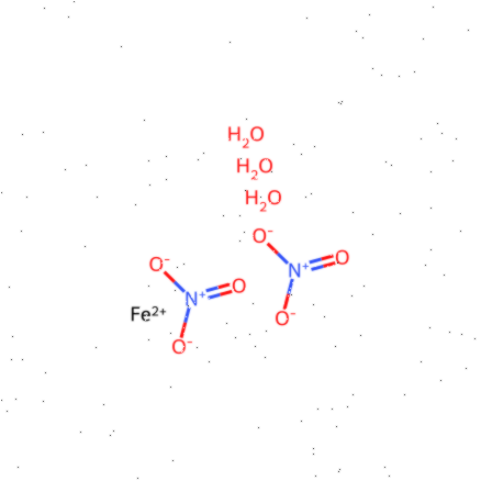 O.O.O.O=[N+]([O-])[O-].O=[N+]([O-])[O-].[Fe+2]